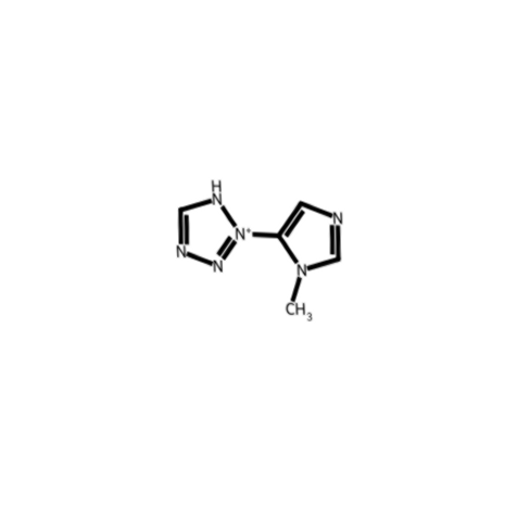 Cn1cncc1-[n+]1nnc[nH]1